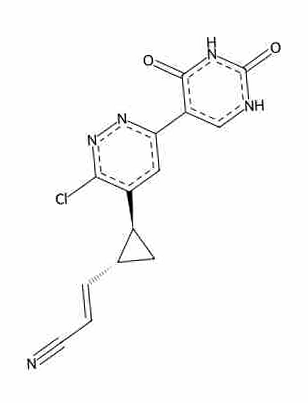 N#C/C=C/[C@H]1C[C@@H]1c1cc(-c2c[nH]c(=O)[nH]c2=O)nnc1Cl